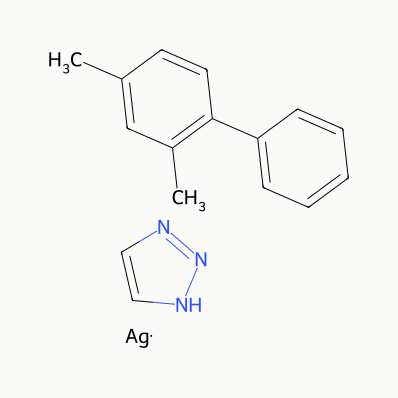 Cc1ccc(-c2ccccc2)c(C)c1.[Ag].c1c[nH]nn1